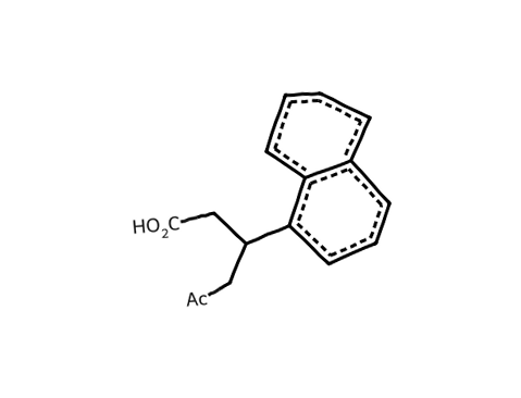 CC(=O)CC(CC(=O)O)c1cccc2ccccc12